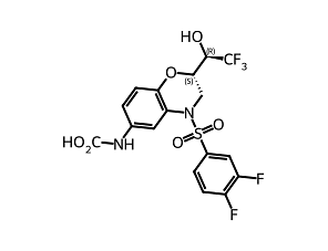 O=C(O)Nc1ccc2c(c1)N(S(=O)(=O)c1ccc(F)c(F)c1)C[C@@H]([C@@H](O)C(F)(F)F)O2